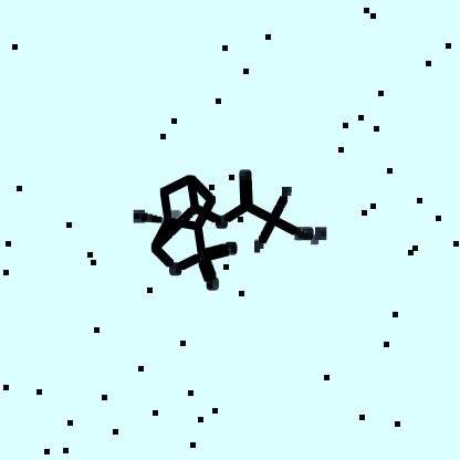 O=C(OC1C2CC3[C@H](C2)C1OS3(=O)=O)C(F)(F)S(=O)(=O)O